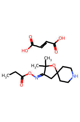 CCC(=O)ON=C1CC2(CCNCC2)OC1(C)C.O=C(O)C=CC(=O)O